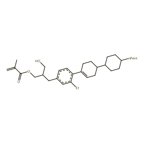 C=C(C)C(=O)OCC(CO)Cc1ccc(C2=CCC(C3CCC(CCCCC)CC3)CC2)c(CC)c1